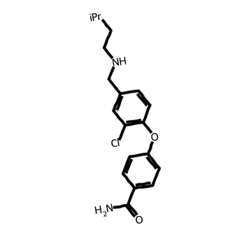 CC(C)CCNCc1ccc(Oc2ccc(C(N)=O)cc2)c(Cl)c1